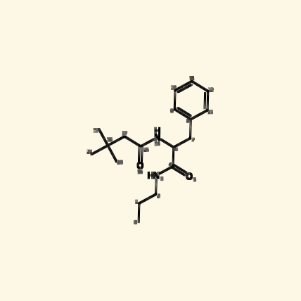 CCCNC(=O)C(Cc1ccccc1)NC(=O)CC(C)(C)C